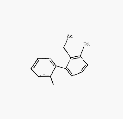 CC(=O)Cc1c(O)cccc1-c1ccccc1C